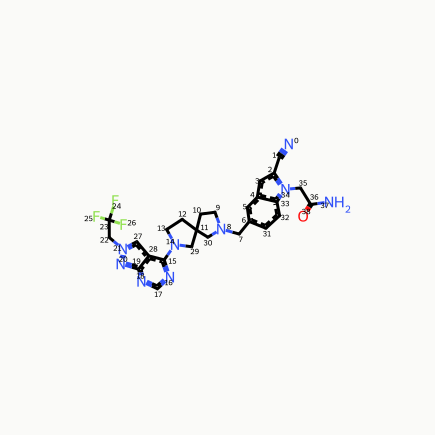 N#Cc1cc2cc(CN3CCC4(CCN(c5ncnc6nn(CC(F)(F)F)cc56)C4)C3)ccc2n1CC(N)=O